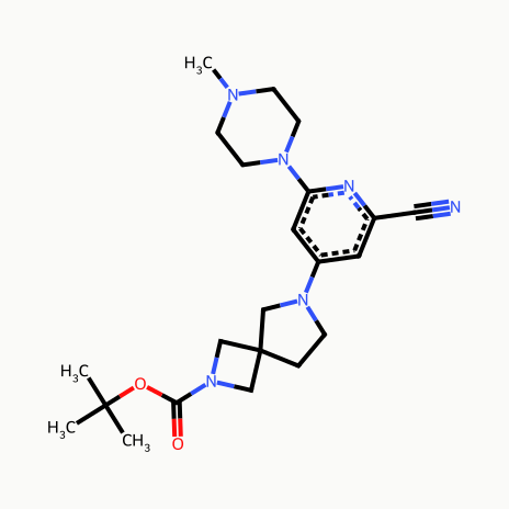 CN1CCN(c2cc(N3CCC4(CN(C(=O)OC(C)(C)C)C4)C3)cc(C#N)n2)CC1